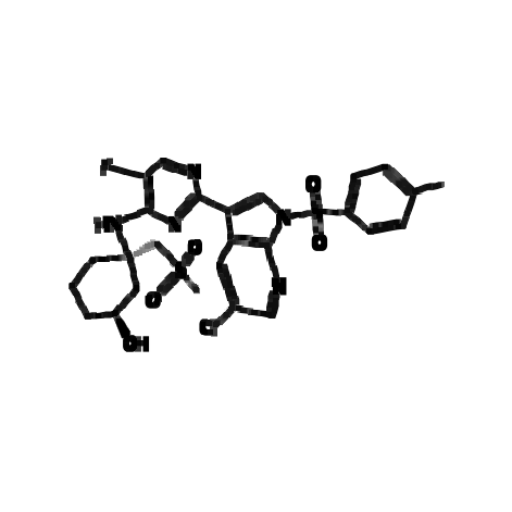 Cc1ccc(S(=O)(=O)n2cc(-c3ncc(F)c(N[C@]4(CS(C)(=O)=O)CCC[C@H](O)C4)n3)c3cc(Cl)cnc32)cc1